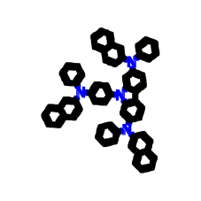 c1ccc(N(c2ccc(-n3c4cc(N(c5ccccc5)c5ccc6ccccc6c5)ccc4c4ccc(N(c5ccccc5)c5ccc6ccccc6c5)cc43)cc2)c2ccc3ccccc3c2)cc1